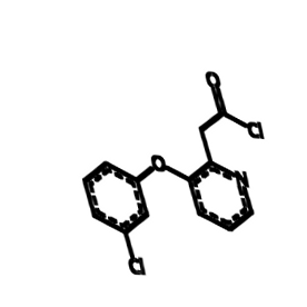 O=C(Cl)Cc1ncccc1Oc1cccc(Cl)c1